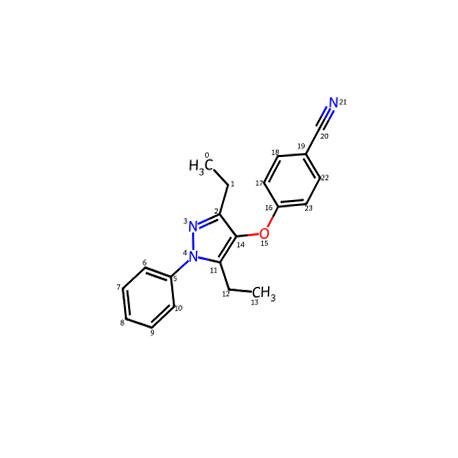 CCc1nn(-c2ccccc2)c(CC)c1Oc1ccc(C#N)cc1